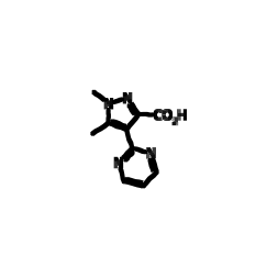 Cc1c(-c2ncccn2)c(C(=O)O)nn1C